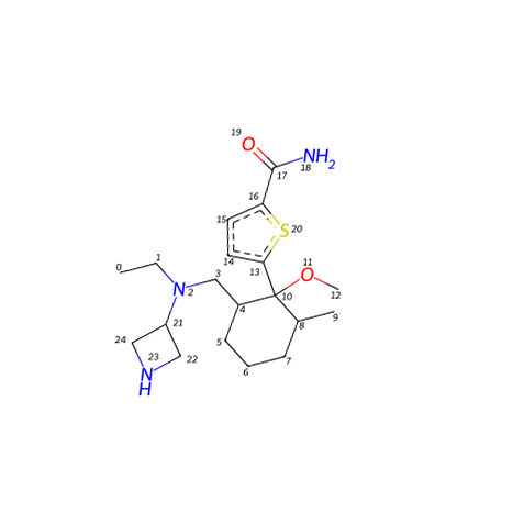 CCN(CC1CCCC(C)C1(OC)c1ccc(C(N)=O)s1)C1CNC1